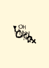 Cn1c(C(C)(C)C)cc2ncc([C@@H]3CCC[C@@H](CC4CC4)[C@H](CO)N3)nc21